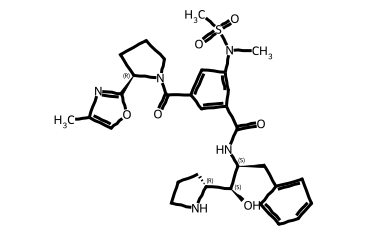 Cc1coc([C@H]2CCCN2C(=O)c2cc(C(=O)N[C@@H](Cc3ccccc3)[C@@H](O)[C@H]3CCCN3)cc(N(C)S(C)(=O)=O)c2)n1